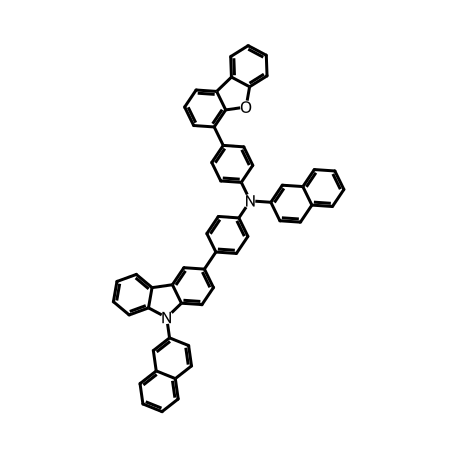 c1ccc2cc(N(c3ccc(-c4ccc5c(c4)c4ccccc4n5-c4ccc5ccccc5c4)cc3)c3ccc(-c4cccc5c4oc4ccccc45)cc3)ccc2c1